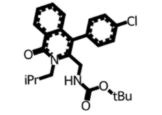 CC(C)Cn1c(CNC(=O)OC(C)(C)C)c(-c2ccc(Cl)cc2)c2ccccc2c1=O